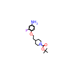 CC(C)(C)OC(=O)N1CCC(CCOc2ccc(N)cc2I)CC1